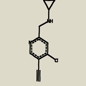 C#Cc1cnc(CNC2CC2)cc1Cl